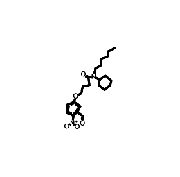 CCCCCCN(C(=O)CCCOc1ccc([N+](=O)[O-])c(C=O)c1)C1CCCCC1